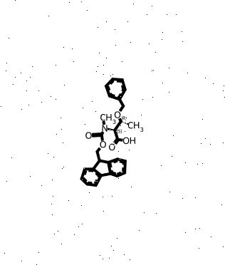 C[C@@H](OCc1ccccc1)[C@@H](C(=O)O)N(C)C(=O)OCC1c2ccccc2-c2ccccc21